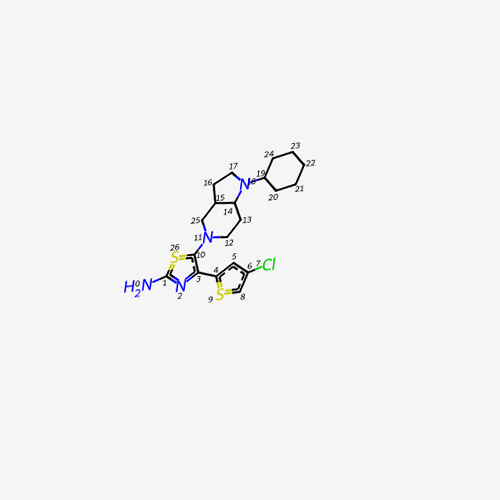 Nc1nc(-c2cc(Cl)cs2)c(N2CCC3C(CCN3C3CCCCC3)C2)s1